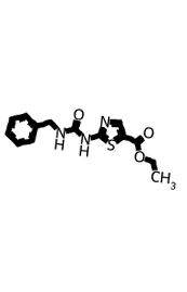 CCOC(=O)c1cnc(NC(=O)NCc2ccccc2)s1